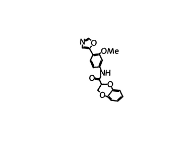 COc1cc(NC(=O)C2COc3ccccc3O2)ccc1-c1cnco1